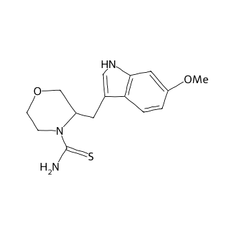 COc1ccc2c(CC3COCCN3C(N)=S)c[nH]c2c1